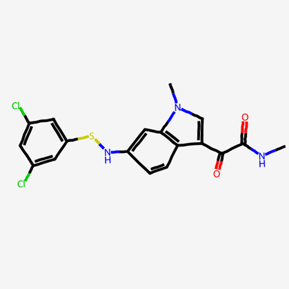 CNC(=O)C(=O)c1cn(C)c2cc(NSc3cc(Cl)cc(Cl)c3)ccc12